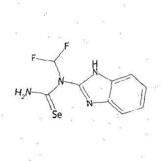 NC(=[Se])N(c1nc2ccccc2[nH]1)C(F)F